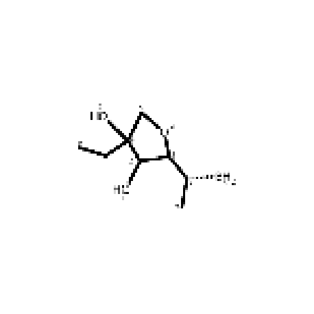 B[C@H](C)C1OCC(O)(CC)C1O